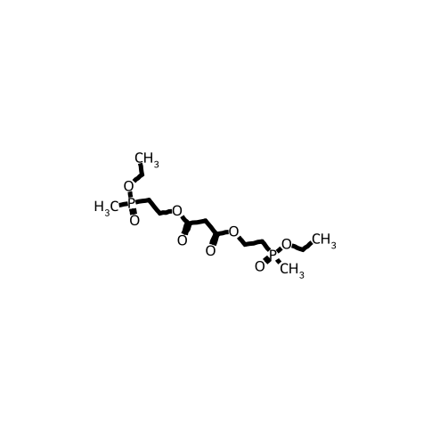 CCOP(C)(=O)CCOC(=O)CC(=O)OCCP(C)(=O)OCC